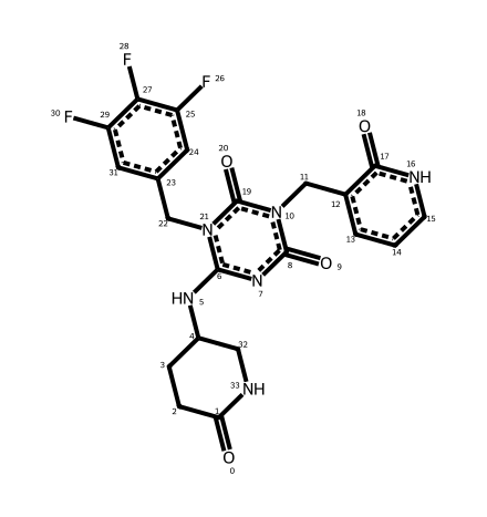 O=C1CCC(Nc2nc(=O)n(Cc3ccc[nH]c3=O)c(=O)n2Cc2cc(F)c(F)c(F)c2)CN1